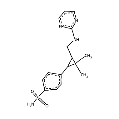 CC1(C)C(CNc2ncccn2)C1c1ccc(S(N)(=O)=O)cc1